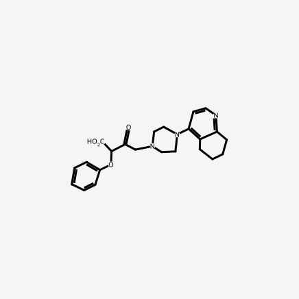 O=C(O)C(Oc1ccccc1)C(=O)CN1CCN(c2ccnc3c2CCCC3)CC1